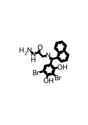 NNC(=O)CN=C(c1cc(Br)c(O)c(Br)c1O)c1cccc2ccccc12